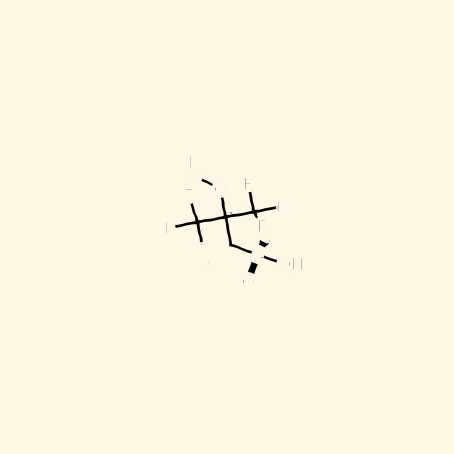 COC(CS(=O)(=O)O)(C(F)(F)F)C(F)(F)F